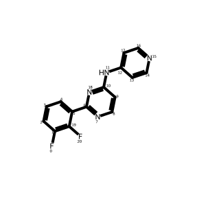 Fc1cccc(-c2nccc(Nc3ccncc3)n2)c1F